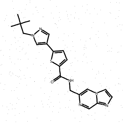 CC(C)(C)Cn1cc(-c2ccc(C(=O)NCc3cn4ccnc4cn3)s2)cn1